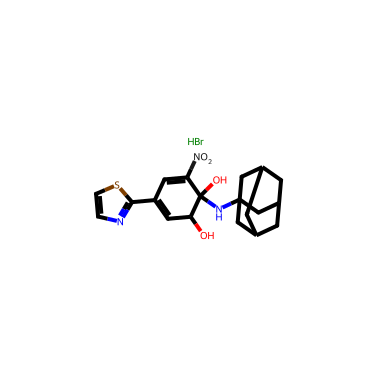 Br.O=[N+]([O-])C1=CC(c2nccs2)=CC(O)C1(O)NC12CC3CC(CC(C3)C1)C2